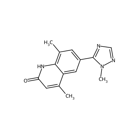 Cc1cc(=O)[nH]c2c(C)cc(-c3ncnn3C)cc12